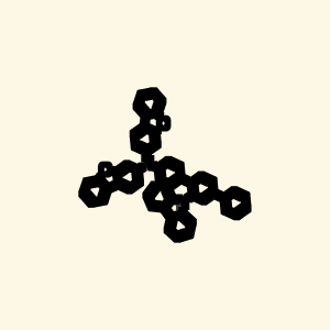 c1ccc(-c2ccc(-c3ccc(N(c4ccc5c(c4)oc4ccccc45)c4ccc5c(c4)oc4ccccc45)cc3)c(-n3c4ccccc4c4ccccc43)c2)cc1